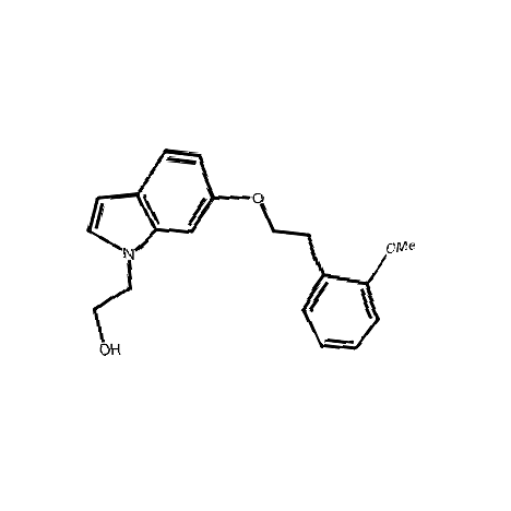 COc1ccccc1CCOc1ccc2ccn(CCO)c2c1